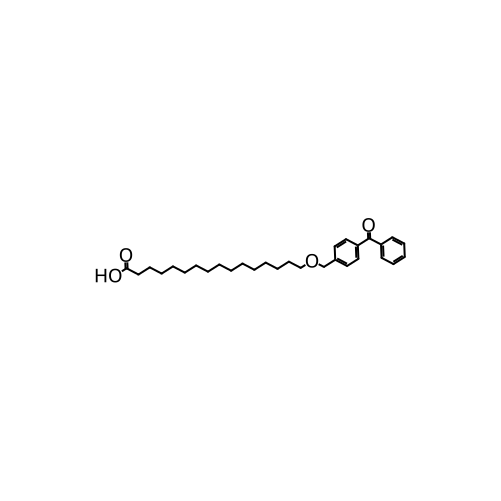 O=C(O)CCCCCCCCCCCCCCCOCc1ccc(C(=O)c2ccccc2)cc1